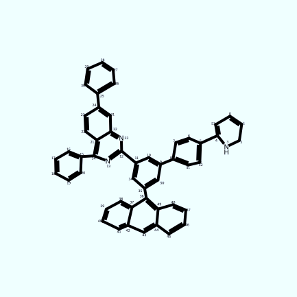 C1=CCNC(c2ccc(-c3cc(-c4nc(-c5ccccc5)c5ccc(-c6ccccc6)cc5n4)cc(-c4c5ccccc5cc5ccccc45)c3)cc2)=C1